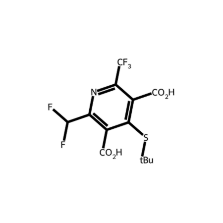 CC(C)(C)Sc1c(C(=O)O)c(C(F)F)nc(C(F)(F)F)c1C(=O)O